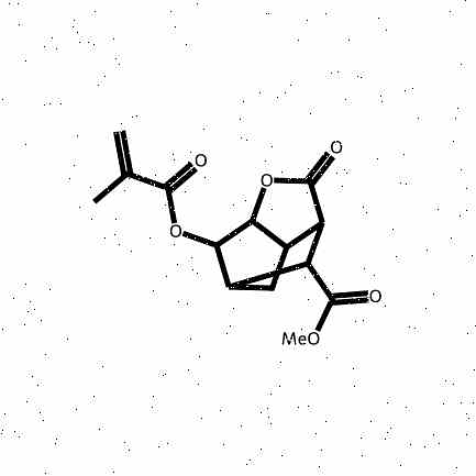 C=C(C)C(=O)OC1C2CC3C1OC(=O)C3C2C(=O)OC